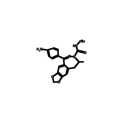 CCCCNC(=O)N1N=C(c2ccc(N)cc2)c2cc3c(cc2CC1C)OCO3